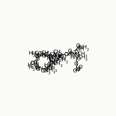 C=C1C(=O)N[C@@H](C)C(=O)N(C)[C@@H](C)C(=O)N[C@@H]([C@H](OC(=O)[C@@H](NC(=O)CC)[C@H](OP(=O)(O)OCc2ccc(NC(=O)[C@H](CCCNC(N)=O)NC(=O)[C@@H](NC(=O)CCOCCN3C(=O)C=CC3=O)C(C)C)cc2)C(C)C)C(C)C)C(=O)N(C)[C@@H]([C@@H](C)OC)C(=O)O[C@H](C(C)C)[C@H](NC(C)=O)C(=O)O[C@H](Cc2ccccc2)C(=O)N1C